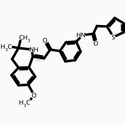 COc1ccc2c(c1)/C(=C/C(=O)c1cccc(NC(=O)Cc3cccs3)c1)NC(C)(C)C2